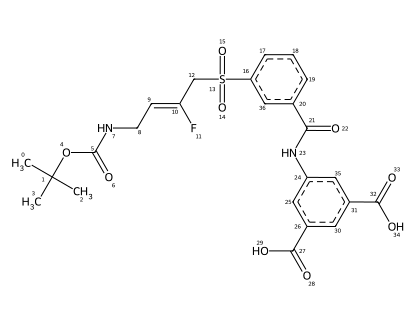 CC(C)(C)OC(=O)NC/C=C(\F)CS(=O)(=O)c1cccc(C(=O)Nc2cc(C(=O)O)cc(C(=O)O)c2)c1